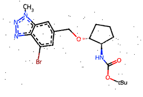 Cn1nnc2c(Br)cc(CO[C@@H]3CCC[C@H]3NC(=O)OC(C)(C)C)cc21